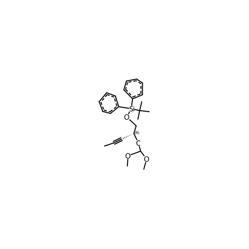 CC#C[C@H](CO[Si](c1ccccc1)(c1ccccc1)C(C)(C)C)CC(OC)OC